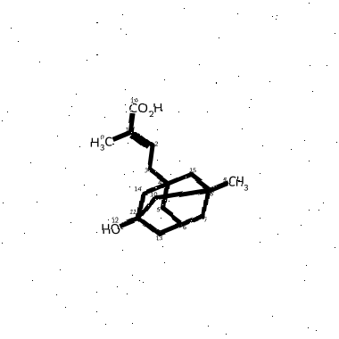 CC(=CCC12CC3CC(C)(CC(O)(C3)C1)C2)C(=O)O